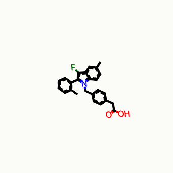 Cc1ccc2c(c1)c(F)c(-c1ccccc1C)n2Cc1ccc(CC(=O)O)cc1